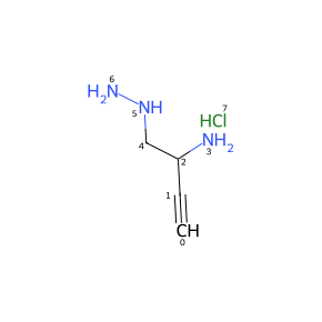 C#CC(N)CNN.Cl